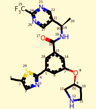 Cc1cnc(-c2cc(O[C@H]3CCNC3)cc(C(=O)N[C@H](C)c3cnc(C(F)(F)F)nc3)c2)s1